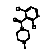 CN1CCN(C(=O)c2c(Cl)[c]ccc2Cl)CC1